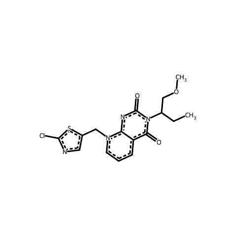 CCC(COC)n1c(=O)nc2n(Cc3cnc(Cl)s3)cccc-2c1=O